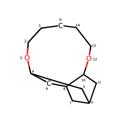 C1CCOC2CC3CC(C2)C(C3)OCC1